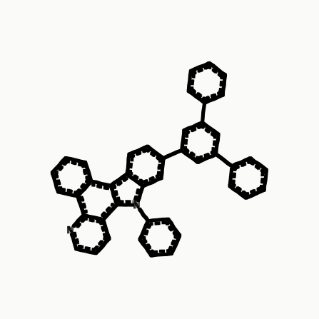 c1ccc(-c2cc(-c3ccccc3)cc(-c3ccc4c5c6ccccc6c6ncccc6c5n(-c5ccccc5)c4c3)c2)cc1